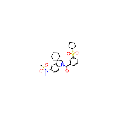 CS(=O)(=O)Nc1ccc2c(c1)C1(CCCCC1)CN2C(=O)c1cccc(S(=O)(=O)C2CCCC2)c1